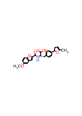 COc1ccc2oc(C(=O)N[C@@H](Cc3ccc(C4CC=C(C)O4)cc3)C(=O)O)cc2c1